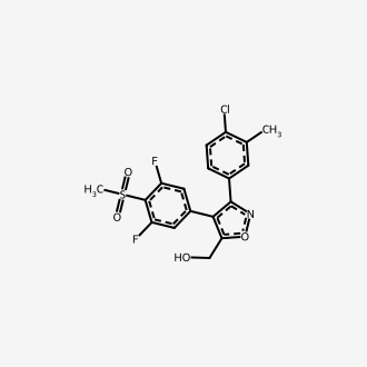 Cc1cc(-c2noc(CO)c2-c2cc(F)c(S(C)(=O)=O)c(F)c2)ccc1Cl